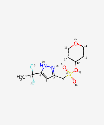 CC(F)(F)c1cc(CS(=O)(=O)OC2CCOCC2)n[nH]1